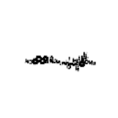 COc1ccc(NC(=O)CCC(=O)NCCOCCOCC(=O)OC2CCC3C4CCc5cc(O)ccc5C4CCC23C)c(O)c1C(N)=O